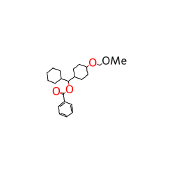 COCOC1CCC(C(OC(=O)c2ccccc2)C2CCCCC2)CC1